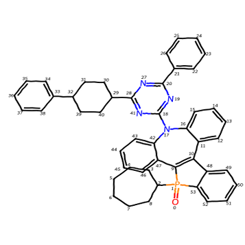 O=P1(C2CCCCCC2)C2=C(c3ccccc3N(c3nc(-c4ccccc4)nc(C4CCC(c5ccccc5)CC4)n3)c3ccccc32)c2ccccc21